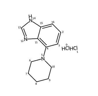 Cl.Cl.c1cc(N2CCCCC2)c2nc[nH]c2c1